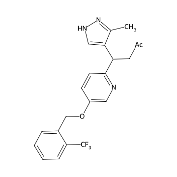 CC(=O)CC(c1ccc(OCc2ccccc2C(F)(F)F)cn1)c1c[nH]nc1C